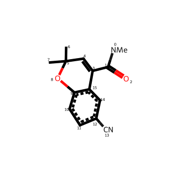 CNC(=O)C1=CC(C)(C)Oc2ccc(C#N)cc21